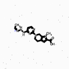 C/C=N\NNc1ccnc(N2CCc3cc(C(=O)O)n(C)c3C2)n1